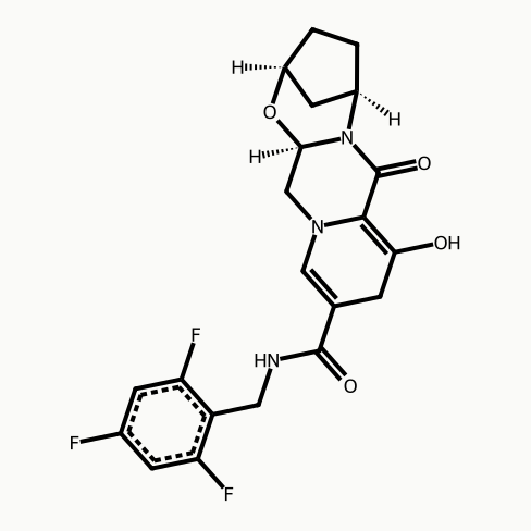 O=C(NCc1c(F)cc(F)cc1F)C1=CN2C[C@H]3O[C@H]4CC[C@H](C4)N3C(=O)C2=C(O)C1